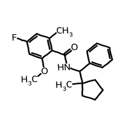 COc1cc(F)cc(C)c1C(=O)NC(c1ccccc1)C1(C)CCCC1